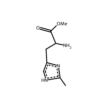 COC(=O)C(N)Cc1c[nH]c(C)n1